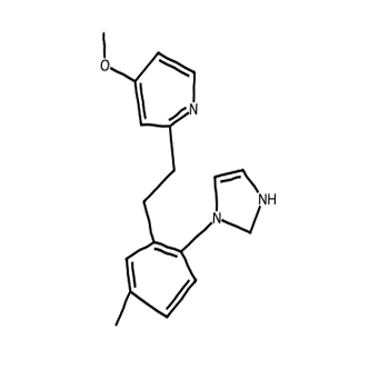 COc1ccnc(CCc2cc(C)ccc2N2C=CNC2)c1